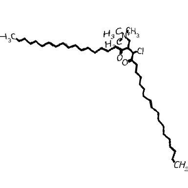 CCCCCCCCCCCCCCCCCC(=O)C(Cl)C(C[N+](C)(C)C)C(=O)CCCCCCCCCCCCCCCCC